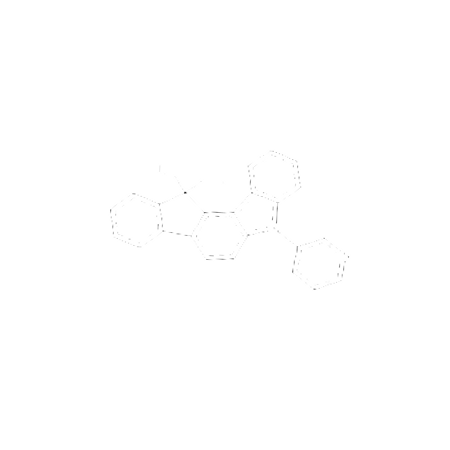 CC1(C)c2ccccc2-c2ccc3c(c21)c1ccccc1n3-c1cccnc1